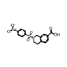 O=C(O)c1ccc2c(c1)CN(S(=O)(=O)c1ccc([N+](=O)[O-])cc1)CC2